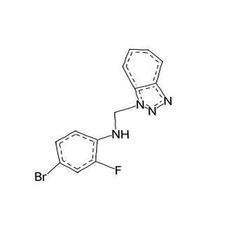 Fc1cc(Br)ccc1NCn1nnc2ccccc21